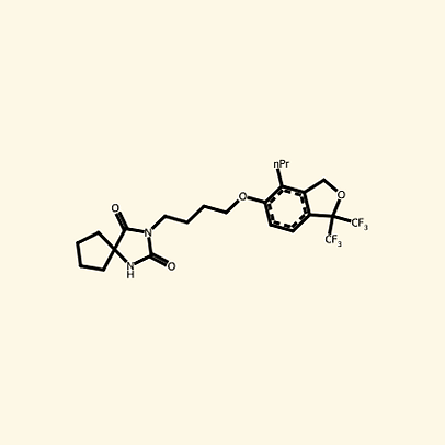 CCCc1c(OCCCCN2C(=O)NC3(CCCC3)C2=O)ccc2c1COC2(C(F)(F)F)C(F)(F)F